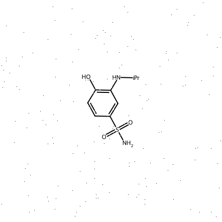 CC(C)Nc1cc(S(N)(=O)=O)ccc1O